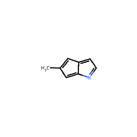 CC1=CC2=CC=NC2=C1